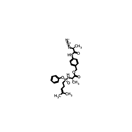 CC(C)=CCCP(=O)(N[C@@H](C)C(=O)OCc1ccc(NC(=O)[C@H](C)N=[N+]=[N-])cc1)Oc1ccccc1